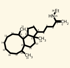 C=C(CCCC1CCC2C3C(C)CCCCCCC(C)C3CCC12C)NCC